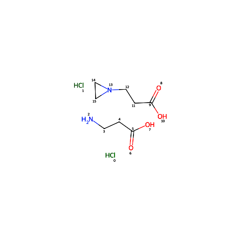 Cl.Cl.NCCC(=O)O.O=C(O)CCN1CC1